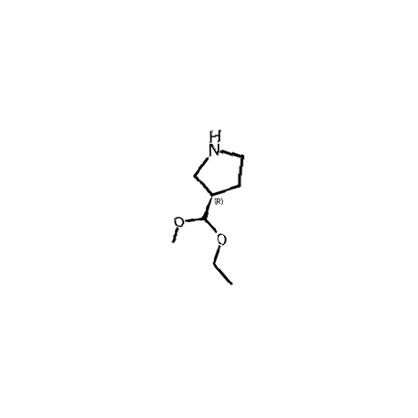 CCOC(OC)[C@@H]1CCNC1